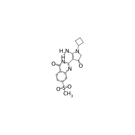 CS(=O)(=O)c1ccc2c(=O)[nH]c(C3=C(N)N(C4CCC4)CC3=O)nc2c1